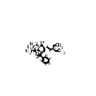 CCC(CC)CC[C@H]1CN(C(=O)c2ccccc2)[C@@H](C(C)(C)C)N(C)C1=O